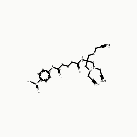 C#CCOCC(COCC#C)(COCC#C)NC(=O)CCCC(=O)Oc1ccc([N+](=O)[O-])cc1